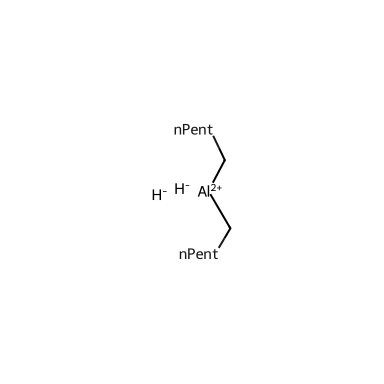 CCCCC[CH2][Al+2][CH2]CCCCC.[H-].[H-]